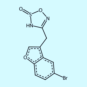 O=S1NC(Cc2coc3ccc(Br)cc23)=NO1